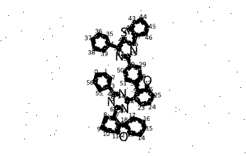 c1ccc(-c2nc(-c3cccc4oc5ccccc5c34)nc(-c3cccc4oc5cc(-c6nc(-c7ccccc7)c7sc8ccccc8c7n6)ccc5c34)n2)cc1